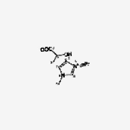 CC(O)C(=O)[O-].CCC[n+]1ccn(C)c1